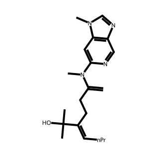 C=C(CC/C(=C\CCC)C(C)(C)O)N(C)c1cc2c(cn1)ncn2C